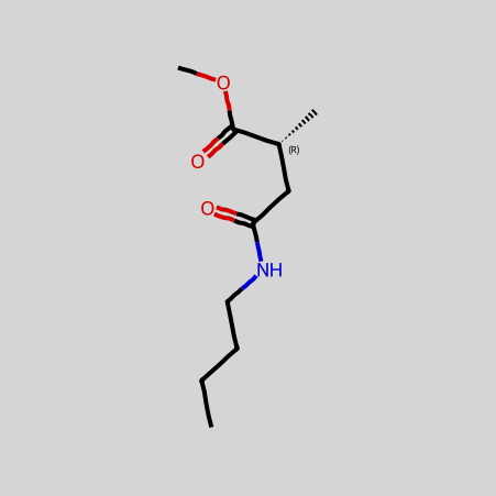 CCCCNC(=O)C[C@@H](C)C(=O)OC